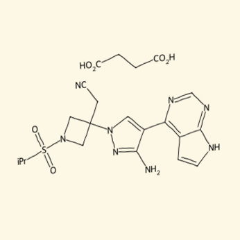 CC(C)S(=O)(=O)N1CC(CC#N)(n2cc(-c3ncnc4[nH]ccc34)c(N)n2)C1.O=C(O)CCC(=O)O